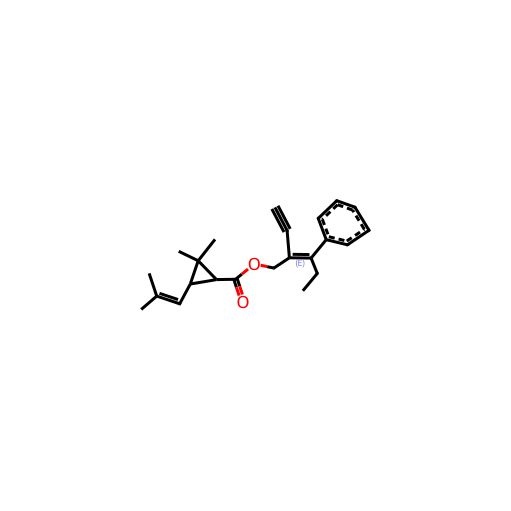 C#C/C(COC(=O)C1C(C=C(C)C)C1(C)C)=C(/CC)c1ccccc1